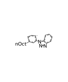 CCCCCCCCc1cc[c]c(-n2nnc3ccccc32)c1